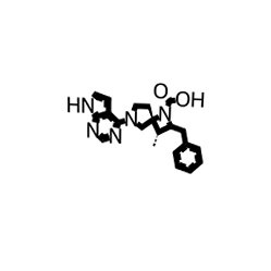 C[C@H]1C(Cc2ccccc2)N(C(=O)O)[C@]12CCN(c1ncnc3[nH]ccc13)C2